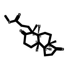 COC(=O)CC[C@@]1(C)C(=O)CC[C@@H]2[C@@H]1CC[C@]1(C)C(=O)CC[C@@H]21